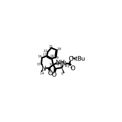 C[C@H](NC(=O)OC(C)(C)C)C(=O)C1(N)C(=O)N(C)CCC2=C1C=CCC2